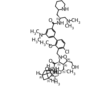 COc1c(-c2cc(C(=O)N[C@@H](CC3CCCCN3)CN(C)C)cc(N(C)C)c2)ccc(Cl)c1CN1O[C@@H](CO)[C@@H]([C@H](C)O)[C@H]1C(=O)N[C@H]1C[C@H]2C[C@@H]([C@@H]1C)C2(C)C